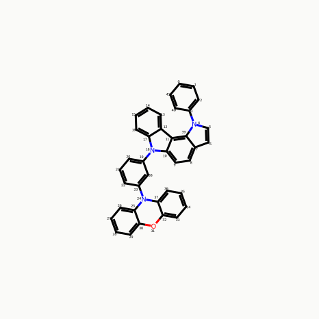 c1ccc(-n2ccc3ccc4c(c5ccccc5n4-c4cccc(N5c6ccccc6Oc6ccccc65)c4)c32)cc1